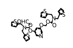 O=COC(Oc1cncc(OCOC(=O)N(Cc2cccs2)Cc2cccs2)c1)N(Cc1cccs1)Cc1cccs1